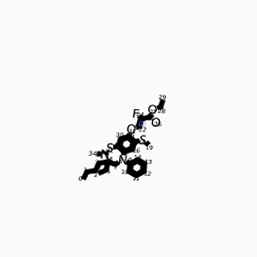 CCCCC1(CC)CN(c2ccccc2)c2cc(SC)c(O/C=C(\F)C(=O)OCC)cc2SN1C